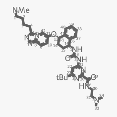 CNCCCCc1nnc2ccc(O[C@@H]3CC[C@H](NC(=O)Nc4cc(C(C)(C)C)nc(C(=O)NCCN(C)C)n4)c4ccccc43)cn12